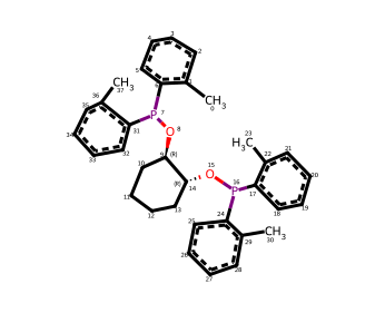 Cc1ccccc1P(O[C@@H]1CCCC[C@H]1OP(c1ccccc1C)c1ccccc1C)c1ccccc1C